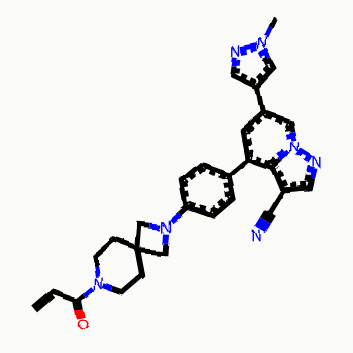 C=CC(=O)N1CCC2(CC1)CN(c1ccc(-c3cc(-c4cnn(C)c4)cn4ncc(C#N)c34)cc1)C2